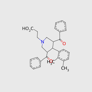 Cc1cccc(C2C(C(=O)c3ccccc3)CN(CCC(=O)O)CC2C(=O)c2ccccc2)c1C